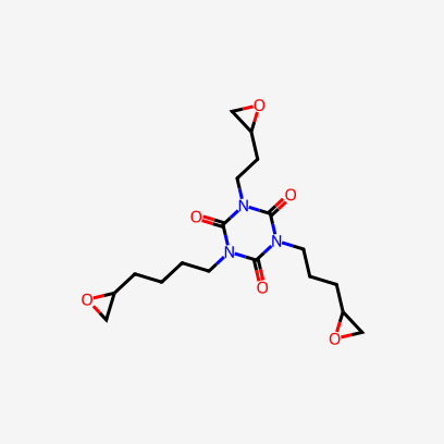 O=c1n(CCCCC2CO2)c(=O)n(CCC2CO2)c(=O)n1CCCC1CO1